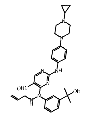 C=CCNN(c1cccc(C(C)(C)O)c1)c1nc(Nc2ccc(N3CCN(C4CC4)CC3)cc2)ncc1C=O